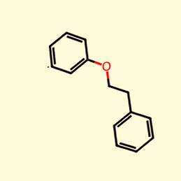 [c]1cccc(OCCc2ccccc2)c1